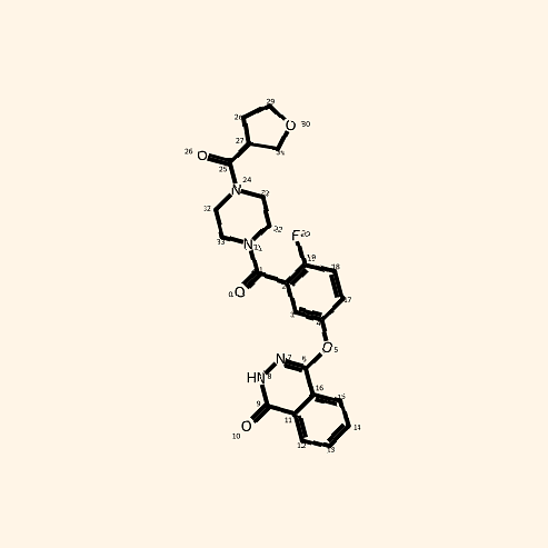 O=C(c1cc(Oc2n[nH]c(=O)c3ccccc23)ccc1F)N1CCN(C(=O)C2CCOC2)CC1